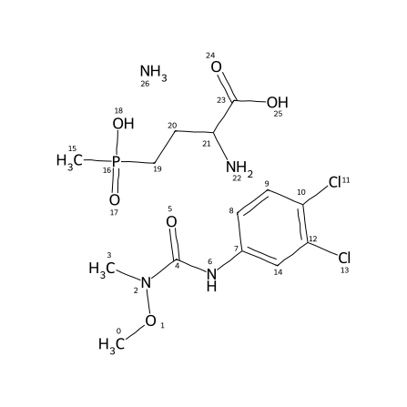 CON(C)C(=O)Nc1ccc(Cl)c(Cl)c1.CP(=O)(O)CCC(N)C(=O)O.N